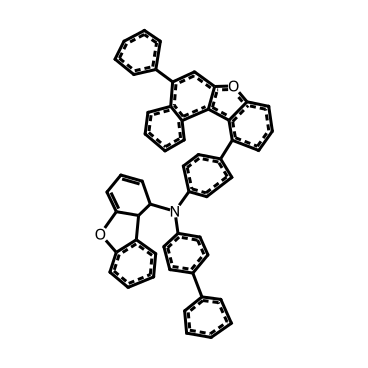 C1=CC(N(c2ccc(-c3ccccc3)cc2)c2ccc(-c3cccc4oc5cc(-c6ccccc6)c6ccccc6c5c34)cc2)C2C(=C1)Oc1ccccc12